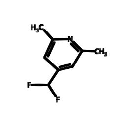 Cc1cc(C(F)F)cc(C)n1